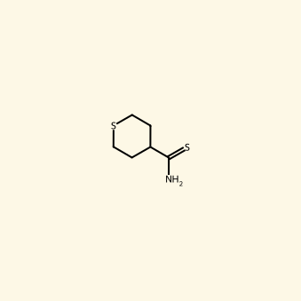 NC(=S)C1CCSCC1